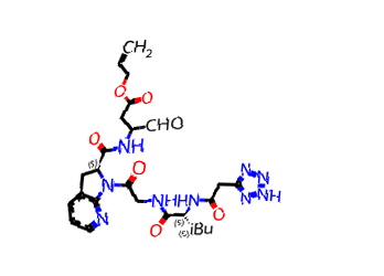 C=CCOC(=O)CC(C=O)NC(=O)[C@@H]1Cc2cccnc2N1C(=O)CNC(=O)[C@@H](NC(=O)Cc1nn[nH]n1)[C@@H](C)CC